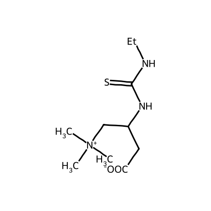 CCNC(=S)NC(CC(=O)[O-])C[N+](C)(C)C